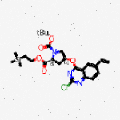 C=Cc1ccc2nc(Cl)nc(O[C@H]3C[C@@H](C(=O)OCC[Si](C)(C)C)N(C(=O)OC(C)(C)C)C3)c2c1